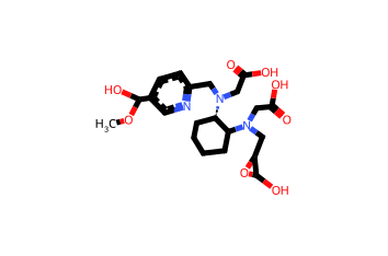 COC(O)c1ccc(CN(CC(=O)O)[C@H]2CCCCC2N(CC(=O)O)CC2OC2O)nc1